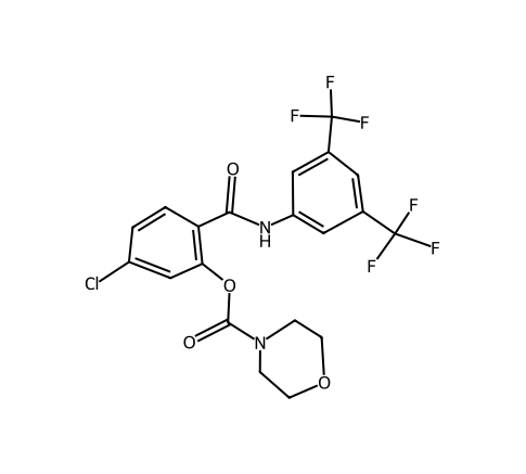 O=C(Nc1cc(C(F)(F)F)cc(C(F)(F)F)c1)c1ccc(Cl)cc1OC(=O)N1CCOCC1